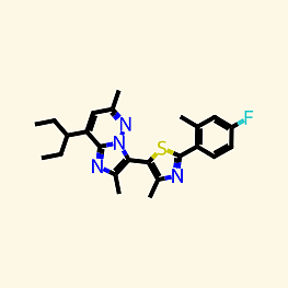 CCC(CC)c1cc(C)nn2c(-c3sc(-c4ccc(F)cc4C)nc3C)c(C)nc12